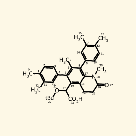 Cc1ccc(-c2c(C)c(-c3ccc(C)c(C)c3)c3c(c2C(OC(C)(C)C)C(=O)O)CCC(=O)N3C)cc1C